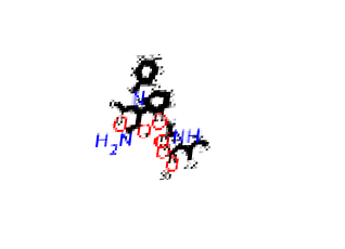 CCc1c(C(=O)C(N)=O)c2c(OCC(=O)N[C@H](C(=O)OC)C(C)CC)cccc2n1Cc1ccccc1